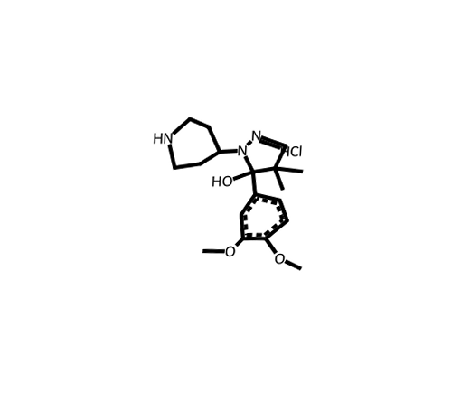 COc1ccc(C2(O)N(C3CCNCC3)N=CC2(C)C)cc1OC.Cl